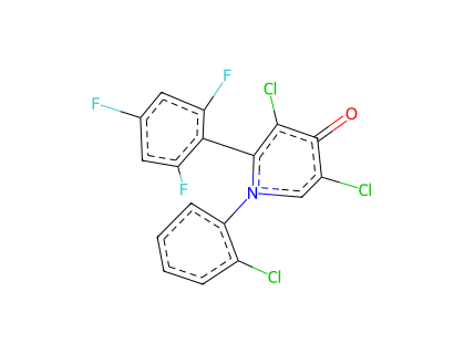 O=c1c(Cl)cn(-c2ccccc2Cl)c(-c2c(F)cc(F)cc2F)c1Cl